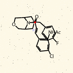 CC(=O)Nc1cc(Cl)ccc1/C=C/C(=O)N1C2COCC1CN(Cc1ccc(F)cc1)C2